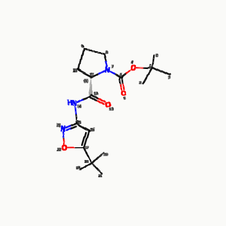 CC(C)(C)OC(=O)N1CCC[C@H]1C(=O)Nc1cc(C(C)(C)C)on1